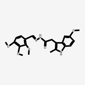 COc1ccc2[nH]c(C)c(CC(=O)N/N=C/c3ccc(OC)c(OC)c3OC)c2c1